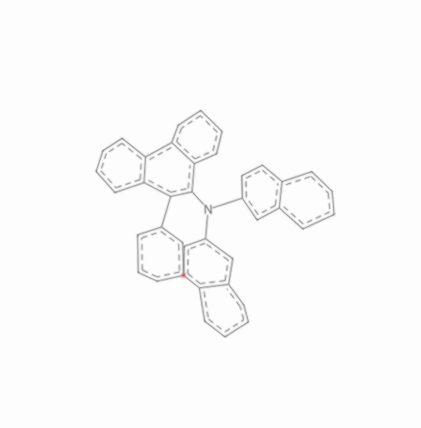 c1ccc(-c2c(N(c3ccc4ccccc4c3)c3ccc4ccccc4c3)c3ccccc3c3ccccc23)cc1